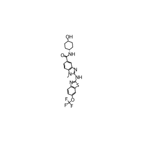 Cn1c(Nc2nc3ccc(OC(F)(F)F)cc3s2)nc2cc(C(=O)N[C@H]3CC[C@H](O)CC3)ccc21